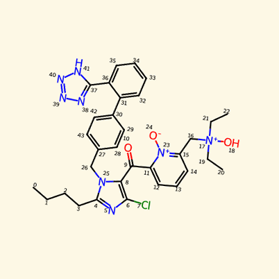 CCCCc1nc(Cl)c(C(=O)c2cccc(C[N+](O)(CC)CC)[n+]2[O-])n1Cc1ccc(-c2ccccc2-c2nnn[nH]2)cc1